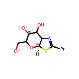 CC(C)C1=NC2C(O)[C@H](O)C(CO)O[C@@H]2S1